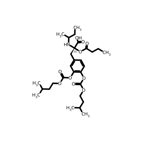 CCCC(=O)O[C@](Cc1ccc(OC(=O)OCCC(C)C)c(OC(=O)OCCC(C)C)c1)(NC(C)CC)C(=O)O